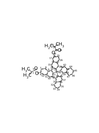 C=C(C)C(=O)Oc1ccc2cc(C3(c4ccc5cc(OC(=O)C(=C)C)ccc5c4)c4cc5ccccc5cc4-c4c3ccc3ccccc43)ccc2c1